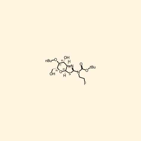 CCCCO[C@H]1[C@H](O)[C@H]2N=C(N(CCF)C(=O)OC(C)(C)C)S[C@H]2O[C@@H]1CO